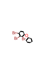 Brc1ccc(Oc2ccccc2)c(Br)c1Br